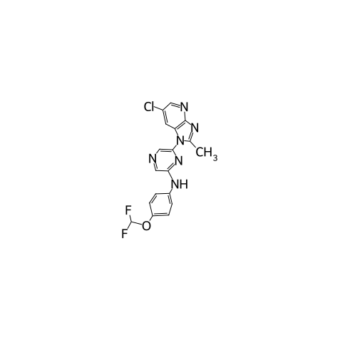 Cc1nc2ncc(Cl)cc2n1-c1cncc(Nc2ccc(OC(F)F)cc2)n1